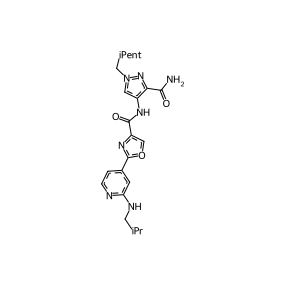 CCCC(C)Cn1cc(NC(=O)c2coc(-c3ccnc(NCC(C)C)c3)n2)c(C(N)=O)n1